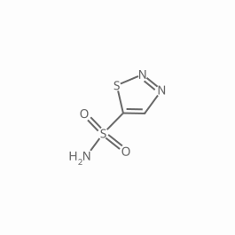 NS(=O)(=O)c1cnns1